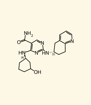 NC(=O)c1cnc(N[C@H]2CCc3ncccc3C2)nc1N[C@@H]1CCCC(O)C1